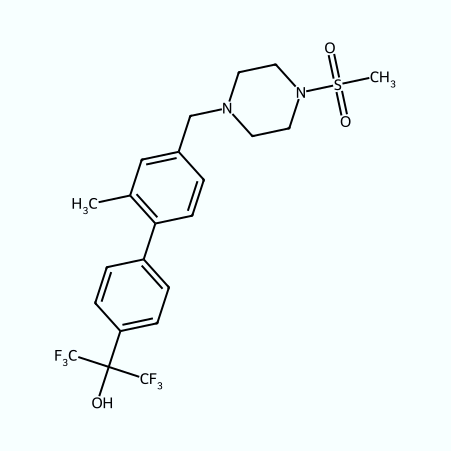 Cc1cc(CN2CCN(S(C)(=O)=O)CC2)ccc1-c1ccc(C(O)(C(F)(F)F)C(F)(F)F)cc1